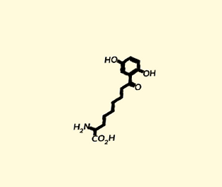 NC(CCCCCCC(=O)c1cc(O)ccc1O)C(=O)O